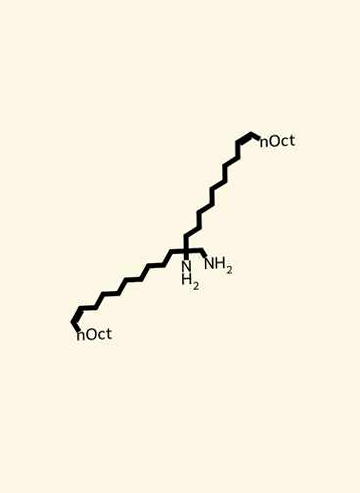 CCCCCCCC/C=C\CCCCCCCCC(N)(CN)CCCCCCCC/C=C\CCCCCCCC